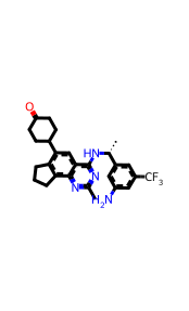 Cc1nc(N[C@H](C)c2cc(N)cc(C(F)(F)F)c2)c2cc(C3CCC(=O)CC3)c3c(c2n1)CCC3